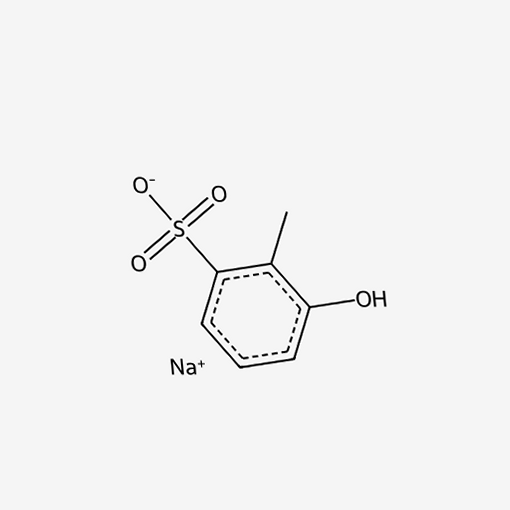 Cc1c(O)cccc1S(=O)(=O)[O-].[Na+]